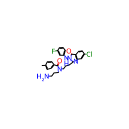 Cc1ccc(C(=O)N(CCCN)CCCc2nc3cc(Cl)ccc3c(=O)n2Nc2cccc(F)c2)cc1